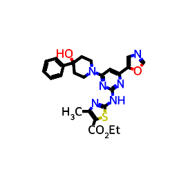 CCOC(=O)c1sc(Nc2nc(-c3cnco3)cc(N3CCC(O)(c4ccccc4)CC3)n2)nc1C